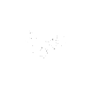 CC(=O)N1CCC(Oc2cncc(-c3cnc4c(c3)CCCN4)c2)CC1